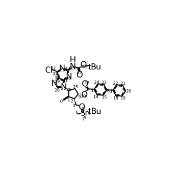 C=C1[C@H](CO[Si](C)(C)C(C)(C)C)[C@@H](OC(=O)c2ccc(-c3ccccc3)cc2)C[C@@H]1n1cnc2c(Cl)nc(NC(=O)OC(C)(C)C)nc21